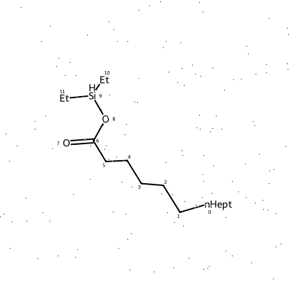 CCCCCCCCCCCCC(=O)O[SiH](CC)CC